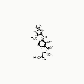 COC(=O)CN(C)C(=O)c1cccc(NC2=NS(=O)(=O)N=C2OC)c1O